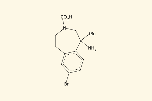 CC(C)(C)C1(N)CN(C(=O)O)CCc2cc(Br)ccc21